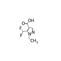 CCn1ncc(C(=O)O)c1C(F)F